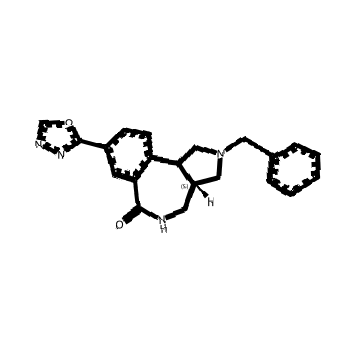 O=C1NC[C@H]2CN(Cc3ccccc3)CC2c2ccc(-c3nnco3)cc21